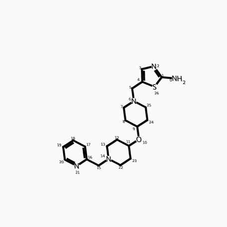 Nc1ncc(CN2CCC(OC3CCN(Cc4ccccn4)CC3)CC2)s1